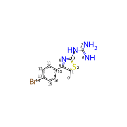 Cc1sc(NC(=N)N)nc1-c1ccc(Br)cc1